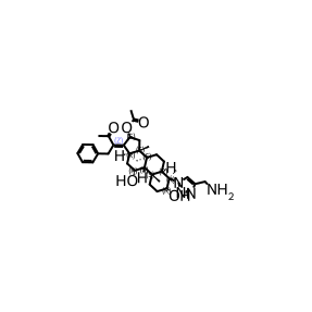 CC(=O)O[C@H]1C[C@@]2(C)[C@@H](C[C@@H](O)[C@H]3[C@@]4(C)CC[C@@H](O)[C@](C)(n5cc(CN)nn5)[C@@H]4CC[C@@]32C)/C1=C(\Cc1ccccc1)C(C)=O